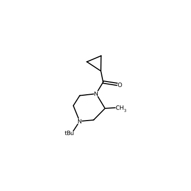 CC1CN(C(C)(C)C)CCN1C(=O)C1CC1